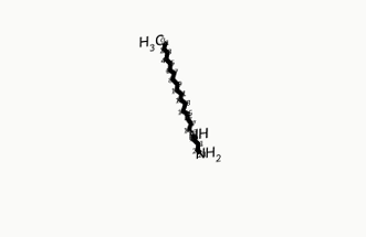 CCCCCCCCCCCCCCCCCCCNCCCN